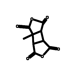 CC12C(=O)OC(=O)C1C1C(=O)OC(=O)C12